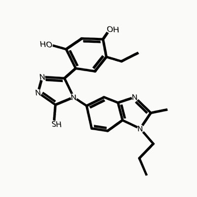 CCCn1c(C)nc2cc(-n3c(S)nnc3-c3cc(CC)c(O)cc3O)ccc21